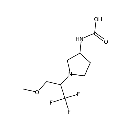 COCC(N1CCC(NC(=O)O)C1)C(F)(F)F